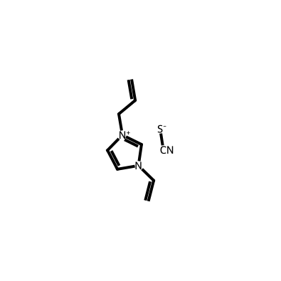 C=CC[n+]1ccn(C=C)c1.N#C[S-]